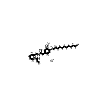 CCCCCCCCCCCCOc1ccc(CC(=O)NCc2cccc[n+]2CCC)cc1OC.[I-]